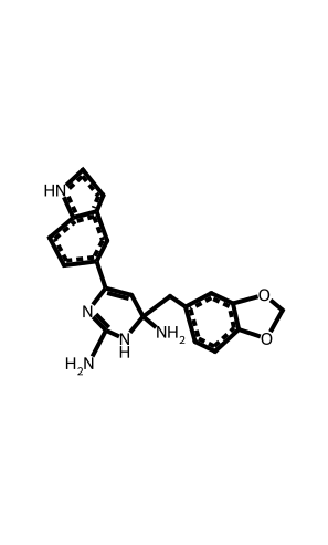 NC1=NC(c2ccc3[nH]ccc3c2)=CC(N)(Cc2ccc3c(c2)OCO3)N1